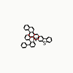 c1ccc(-c2ccccc2-c2c(-c3ccccc3)cccc2N(c2ccc3c(ccc4ccccc43)c2)c2ccc3c(c2)sc2ccccc23)cc1